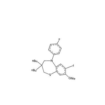 CCCCC1(CCCC)CSc2cc(OC)c(I)cc2N(c2ccc(F)cc2)C1